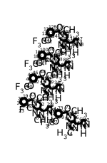 Cc1nc2c(c(-c3ccn[nH]3)n1)CC(C)N(C(=O)c1cccc(F)c1Cl)C2.Cc1nc2c(c(-c3ccn[nH]3)n1)CC(C)N(C(=O)c1cccc(OC(F)(F)F)c1)C2.Cc1nc2c(c(-c3ccn[nH]3)n1)CC(C)N(C(=O)c1cccc(OC(F)(F)F)c1)C2.Cc1nc2c(c(-c3ccn[nH]3)n1)C[C@@H](C)N(C(=O)c1cccc(OC(F)(F)F)c1F)C2.Cc1nc2c(c(-c3ccn[nH]3)n1)C[C@H](C)N(C(=O)c1cccc(OC(F)(F)F)c1)C2